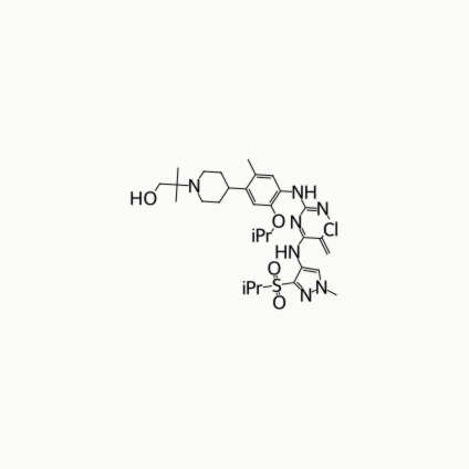 C=C(Cl)/C(=N\C(=N/C)Nc1cc(C)c(C2CCN(C(C)(C)CO)CC2)cc1OC(C)C)Nc1cn(C)nc1S(=O)(=O)C(C)C